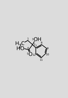 CCC(O)(C(=O)O)c1ccccc1